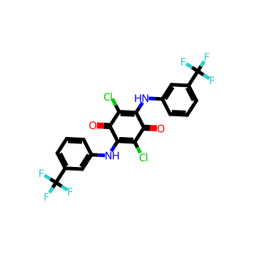 O=C1C(Cl)=C(Nc2cccc(C(F)(F)F)c2)C(=O)C(Cl)=C1Nc1cccc(C(F)(F)F)c1